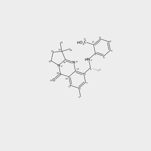 Cc1cc([C@@H](C)Nc2ccccc2C(=O)O)c2nc3n(c(=O)c2c1)CCC3(C)C